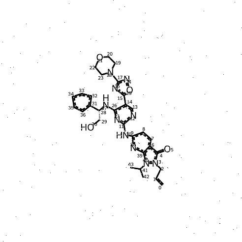 C=CCn1c(=O)c2ccc(Nc3ncc(-c4nc(N5CCOCC5)no4)c(N[C@H](CO)c4ccccc4)n3)nc2n1C(C)C